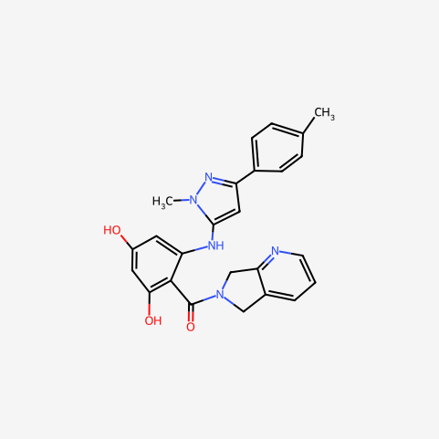 Cc1ccc(-c2cc(Nc3cc(O)cc(O)c3C(=O)N3Cc4cccnc4C3)n(C)n2)cc1